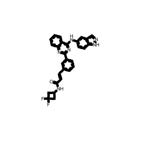 O=C(/C=C/c1cccc(-c2nc(Nc3ccc4[nH]ncc4c3)c3ccccc3n2)c1)NC1CC(F)(F)C1